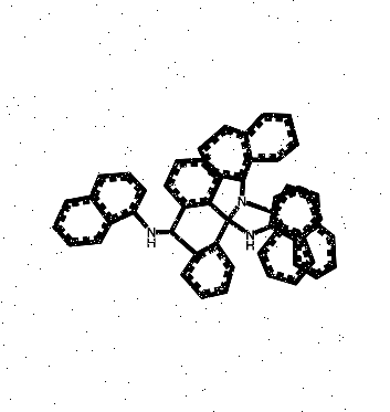 c1ccc2c(c1)C(Nc1cccc3ccccc13)c1ccccc1C2(Nc1cccc2ccccc12)N(c1cccc2ccccc12)c1cccc2ccccc12